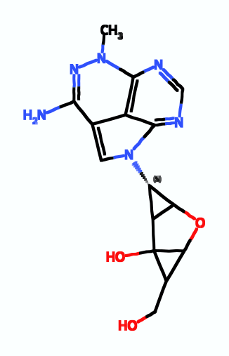 CN1N=C(N)c2cn([C@@H]3C4OC5C(CO)C5(O)C43)c3ncnc1c23